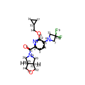 O=C(c1ccc(N2CC(F)(F)C2)c(OCC2CC2)n1)N1C[C@H]2COC[C@H]2C1